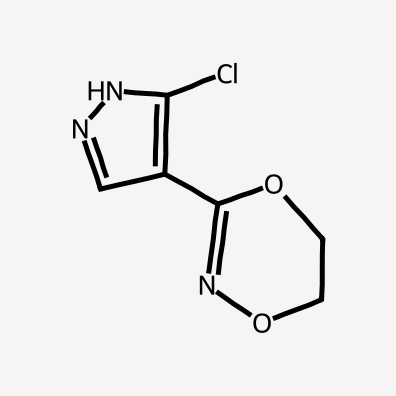 Clc1[nH]ncc1C1=NOCCO1